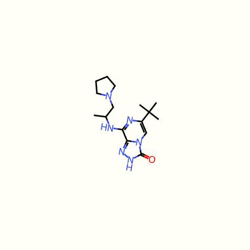 CC(CN1CCCC1)Nc1nc(C(C)(C)C)cn2c(=O)[nH]nc12